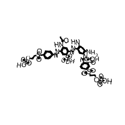 CNc1cc(N)c(/N=N/c2ccc(S(=O)(=O)CCOS(=O)(=O)O)cc2S(=O)(=O)O)cc1/N=N/c1cc(NC(C)=O)c(/N=N/c2ccc(S(=O)(=O)CCOS(=O)(=O)O)cc2)cc1S(=O)(=O)O